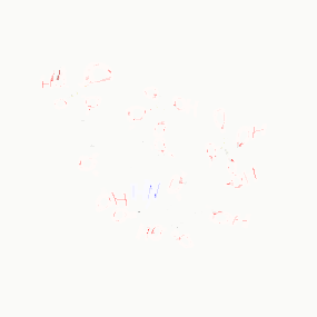 CC(=O)NC1[C@H](O)OC(COS(=O)(=O)O)[C@H](OS(=O)(=O)O)[C@@H]1O[C@@H]1OC(C(=O)O)[C@@H](O)[C@H](O)C1OS(=O)(=O)O